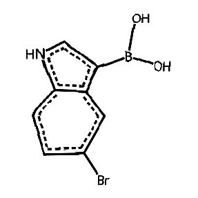 OB(O)c1c[nH]c2ccc(Br)cc12